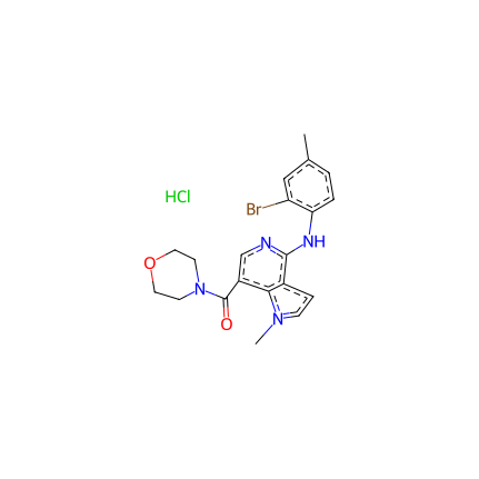 Cc1ccc(Nc2ncc(C(=O)N3CCOCC3)c3c2ccn3C)c(Br)c1.Cl